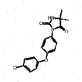 CC1(C)NC(=O)N(c2ccc(Oc3ccc(Cl)cc3)cc2)C1=O